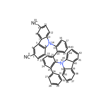 N#Cc1ccc2c(c1)c1cc(C#N)ccc1n2-c1ccccc1-c1cccc(-c2ccccc2)c1-n1c2ccccc2c2ccccc21